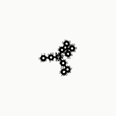 c1ccc(-c2ccc(-c3nc(-c4ccc(-c5cccc6ccccc56)cc4)nc(-c4ccc5c(c4)C(c4ccccc4)(c4ccccc4)c4ccccc4-5)n3)cc2)cc1